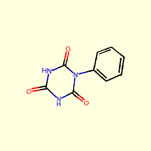 O=c1[nH]c(=O)n(-c2ccccc2)c(=O)[nH]1